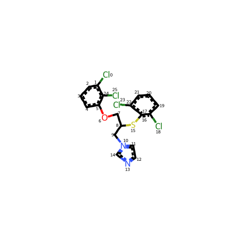 Clc1cccc(OCC(Cn2ccnc2)Sc2c(Cl)cccc2Cl)c1Cl